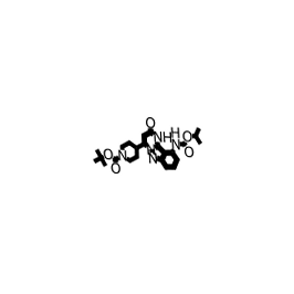 CC(C)OC(=O)Nc1cccc2nn3c(C4CCN(C(=O)OC(C)(C)C)CC4)cc(=O)[nH]c3c12